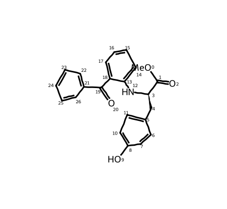 COC(=O)[C@@H](Cc1ccc(O)cc1)Nc1ccccc1C(=O)c1ccccc1